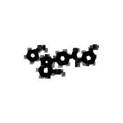 CCCc1ccnc(NC(=O)c2ccc(-c3nc([C@@H]4CCCN4C)n4ccnc(N)c34)cc2)c1